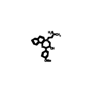 COc1ccc(C2Sc3c(ccc4ccccc34)N(CCN(C)C)CC2O)cc1